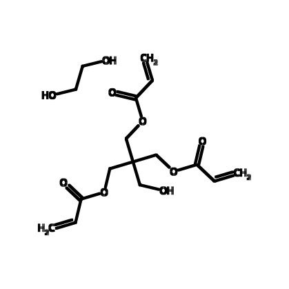 C=CC(=O)OCC(CO)(COC(=O)C=C)COC(=O)C=C.OCCO